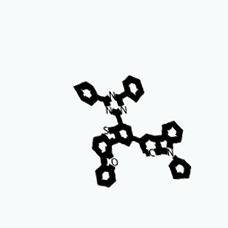 c1ccc(-c2nc(-c3ccccc3)nc(-c3cc(-c4ccc5c(c4)c4ccccc4n5-c4ccccc4)cc4c3sc3ccc5c6ccccc6oc5c34)n2)cc1